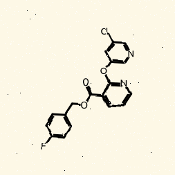 O=C(OCc1ccc(F)cc1)c1cccnc1Oc1cncc(Cl)c1